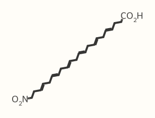 O=C(O)CCC=CCC=CCC=CCC=CCC=CCC=CCC[N+](=O)[O-]